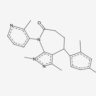 [CH]c1ccc(C2CCC(=O)N(c3cccnc3C)c3c2c(C)nn3C)c(C)c1